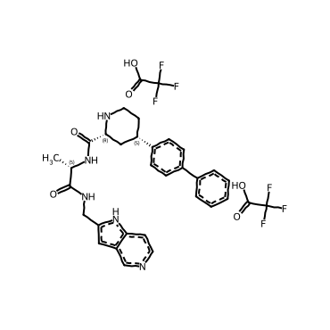 C[C@H](NC(=O)[C@H]1C[C@@H](c2ccc(-c3ccccc3)cc2)CCN1)C(=O)NCc1cc2cnccc2[nH]1.O=C(O)C(F)(F)F.O=C(O)C(F)(F)F